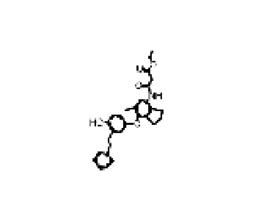 CCOC(=O)CC(=O)Nc1cc(C)c(Oc2ccc(O)c(CCc3ccccc3)c2)c2c1CCC2